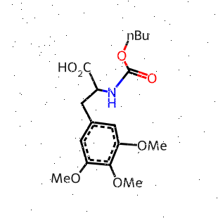 CCCCOC(=O)NC(Cc1cc(OC)c(OC)c(OC)c1)C(=O)O